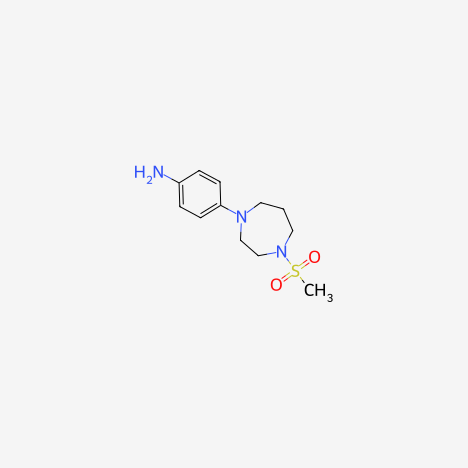 CS(=O)(=O)N1CCCN(c2ccc(N)cc2)CC1